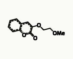 COCCOc1cc2ccccc2oc1=O